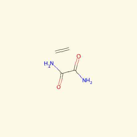 C=C.NC(=O)C(N)=O